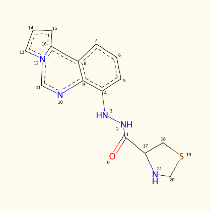 O=C(NNc1cccc2c1ncn1cccc21)C1CSCN1